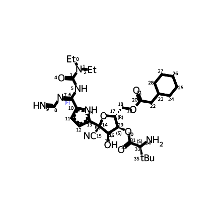 CCN(CC)C(=O)N/C(=N/C=N)c1ccc([C@]2(C#N)O[C@H](COC(=O)CC3CCCCC3)[C@@H](OC(=O)[C@@H](N)C(C)(C)C)[C@H]2O)[nH]1